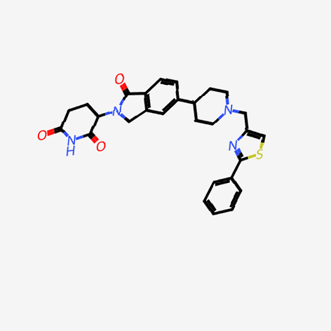 O=C1CCC(N2Cc3cc(C4CCN(Cc5csc(-c6ccccc6)n5)CC4)ccc3C2=O)C(=O)N1